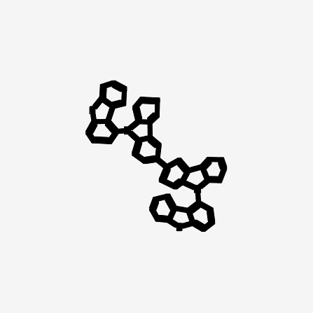 c1ccc2c(c1)sc1cccc(-n3c4ccccc4c4cc(-c5ccc6c(c5)c5ccccc5n6-c5cccc6sc7ccccc7c56)ccc43)c12